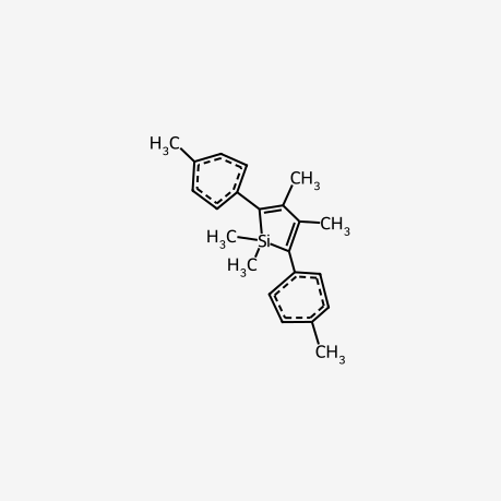 CC1=C(c2ccc(C)cc2)[Si](C)(C)C(c2ccc(C)cc2)=C1C